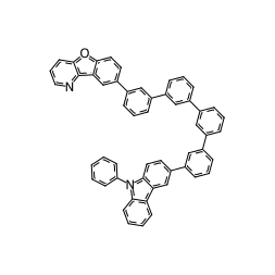 c1ccc(-n2c3ccccc3c3cc(-c4cccc(-c5cccc(-c6cccc(-c7cccc(-c8ccc9oc%10cccnc%10c9c8)c7)c6)c5)c4)ccc32)cc1